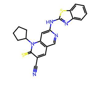 N#Cc1cc2cnc(Nc3nc4ccccc4s3)cc2n(C2CCCC2)c1=S